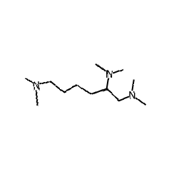 CN(C)CCCCC(CN(C)C)N(C)C